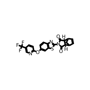 O=C1[C@@H]2C3C=CC(C3)[C@@H]2C(=O)N1c1nc2ccc(Oc3ccc(C(F)(F)F)cn3)cc2s1